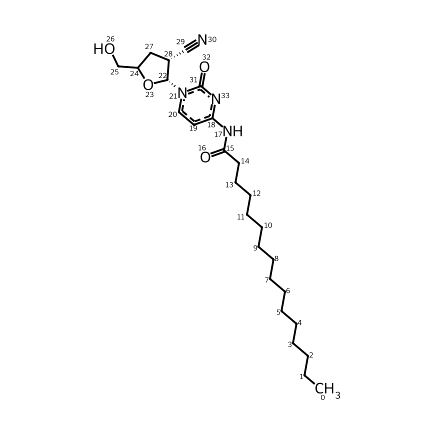 CCCCCCCCCCCCCCCC(=O)Nc1ccn([C@@H]2OC(CO)C[C@@H]2C#N)c(=O)n1